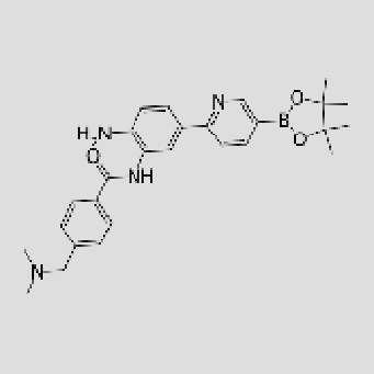 CN(C)Cc1ccc(C(=O)Nc2cc(-c3ccc(B4OC(C)(C)C(C)(C)O4)cn3)ccc2N)cc1